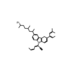 C#C/C(=C\C=C/C)n1c2c(c3cc(C(C)CC(I)CCC(C)C(C)C)ccc31)CC(/C(C=C(C)C)=C/C)=C=C2